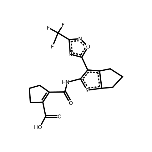 O=C(O)C1=C(C(=O)Nc2sc3c(c2-c2nc(C(F)(F)F)no2)CCC3)CCC1